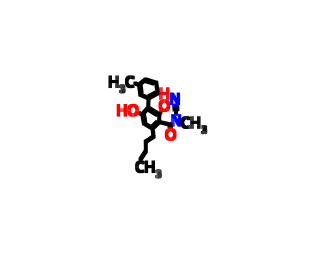 CCCCCc1cc(O)c(-c2cccc(C)c2)c(O)c1C(=O)N(C)C#N